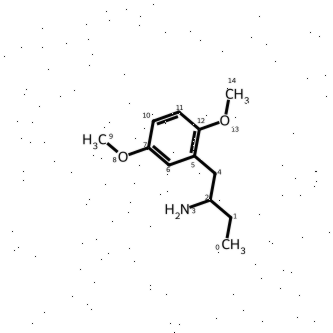 CCC(N)Cc1cc(OC)ccc1OC